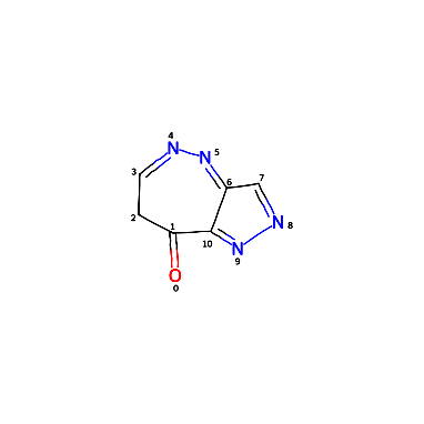 O=C1CC=NN=C2C=NN=C12